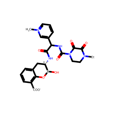 CCN1CCN(C(=O)NC(C(=O)N[C@H]2Cc3cccc(C(=O)[O-])c3OB2O)c2ccc[n+](C)c2)C(=O)C1=O